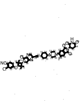 CC1(C)[C@H](Oc2ccc(C#N)c(Cl)c2)C(C)(C)[C@H]1N1Cc2nc(C#C[C@H]3CC[C@H](N4CCN(c5cc6c(cc5F)C(=O)N(C5CCC(=O)NC5=O)C6=O)CC4)CC3)cnc2C1=O